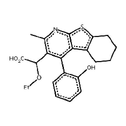 CCOC(C(=O)O)c1c(C)nc2sc3c(c2c1-c1ccccc1O)CCCC3